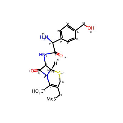 CSCC1=C(C(=O)O)N2C(=O)C(NC(=O)C(N)c3ccc(CO)cc3)[C@@H]2SC1